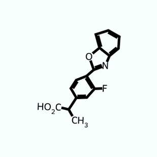 CC(C(=O)O)c1ccc(-c2nc3ccccc3o2)c(F)c1